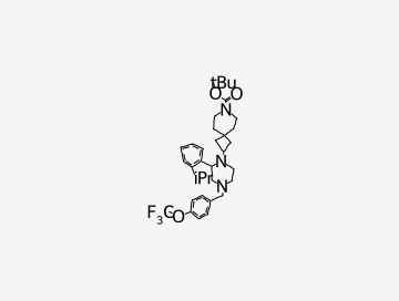 CC(C)c1ccccc1C1CN(Cc2ccc(OC(F)(F)F)cc2)CCN1C1CC2(CCN(C(=O)OC(C)(C)C)CC2)C1